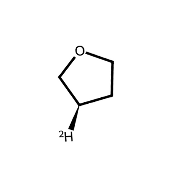 [2H][C@@H]1CCOC1